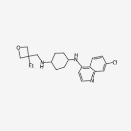 CCC1(CNC2CCC(Nc3ccnc4cc(Cl)ccc34)CC2)COC1